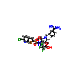 N=C(N)c1cccc(CN2CC[C@H](NS(=O)(=O)c3cc4ccc(Cl)nc4s3)C2=O)c1.O=C(O)C(F)(F)F